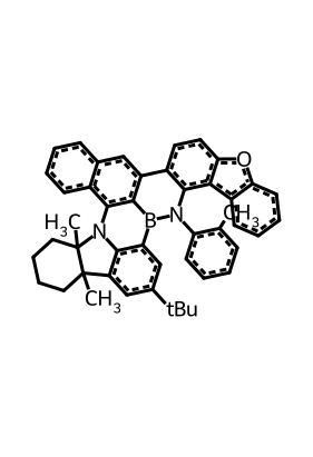 Cc1ccccc1N1B2c3cc(C(C)(C)C)cc4c3N(c3c2c(cc2ccccc32)-c2ccc3oc5ccccc5c3c21)C1(C)CCCCC41C